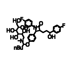 CCCCC(Oc1ccc(C2C(CCC(O)c3ccc(F)cc3)C(=O)N2c2ccc(F)cc2)cc1)N(C)CC(O)C(O)C(O)C(O)CO